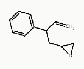 C=CC([CH]C1CO1)c1ccccc1